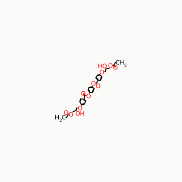 C=CC(=O)OCC(O)COc1ccc(C(=O)Oc2ccc(OC(=O)c3ccc(OCC(O)COC(=O)C=C)cc3)cc2)cc1